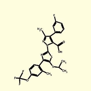 Cc1cc(OC(F)(F)F)ccc1-c1nc(-n2nc(C)c(-c3cccc(F)c3)c2C(=O)O)sc1SC(C)C